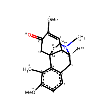 COC1=CC2[C@@H]3Cc4ccc(OC)c(C)c4[C@]2(CCN3C)CC1=O